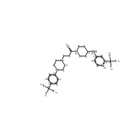 O=C(CCN1CCN(c2ccc(C(F)(F)F)cc2)CC1)N1CCC(Nc2ccnc(C(F)(F)F)c2)CC1